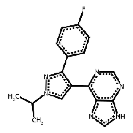 CC(C)n1cc(-c2ncnc3[nH]cnc23)c(-c2ccc(F)cc2)n1